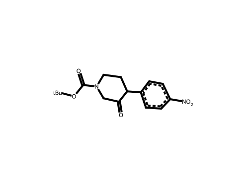 CC(C)(C)OC(=O)N1CCC(c2ccc([N+](=O)[O-])cc2)C(=O)C1